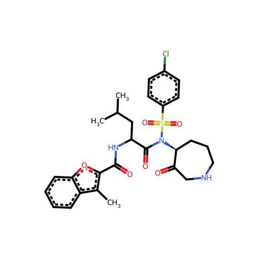 Cc1c(C(=O)NC(CC(C)C)C(=O)N([C@H]2CCCNCC2=O)S(=O)(=O)c2ccc(Cl)cc2)oc2ccccc12